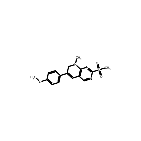 COc1ccc(C2=Cc3cnc(S(C)(=O)=O)nc3N(C)C2)cc1